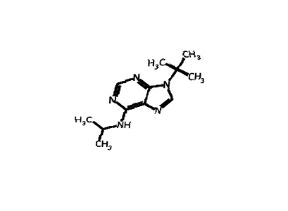 CC(C)Nc1ncnc2c1ncn2C(C)(C)C